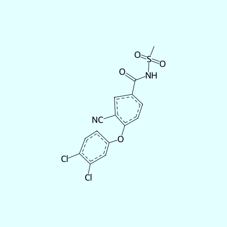 CS(=O)(=O)NC(=O)c1ccc(Oc2ccc(Cl)c(Cl)c2)c(C#N)c1